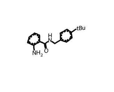 CC(C)(C)c1ccc(CNC(=O)c2ccccc2N)cc1